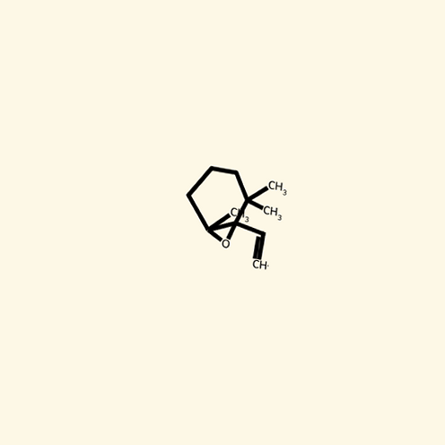 [CH]=CC12OC1(C)CCCC2(C)C